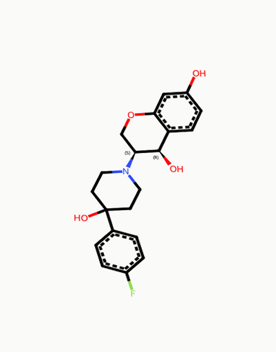 Oc1ccc2c(c1)OC[C@H](N1CCC(O)(c3ccc(F)cc3)CC1)[C@@H]2O